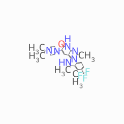 Cc1nc(N[C@H](C)c2cccc(C(F)(F)F)c2C)c2cc(N3CCN(C(C)C)CC3)c(=O)[nH]c2n1